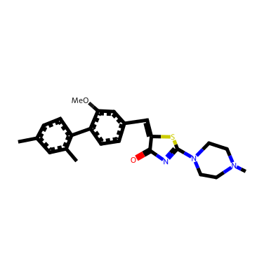 COc1cc(/C=C2/SC(N3CCN(C)CC3)=NC2=O)ccc1-c1ccc(C)cc1C